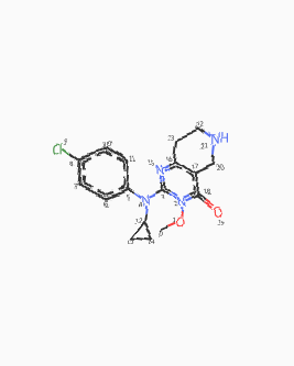 COn1c(N(c2ccc(Cl)cc2)C2CC2)nc2c(c1=O)CNCC2